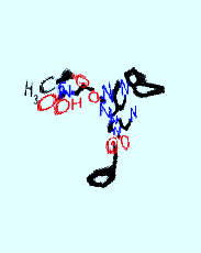 CC1COC(COc2nc3c(c(N4CCN(C(=O)OCc5ccccc5)C(CC#N)C4)n2)CCN(c2cccc4ccccc24)C3)CN1C(=O)O